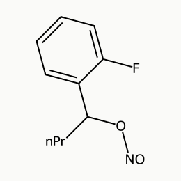 CCCC(ON=O)c1ccccc1F